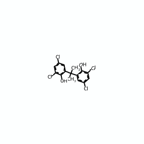 CC(C)(c1cc(Cl)cc(Cl)c1O)c1cc(Cl)cc(Cl)c1O